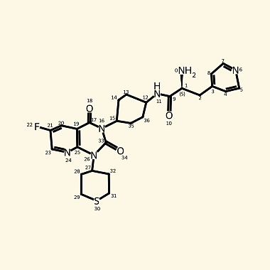 N[C@@H](Cc1ccncc1)C(=O)NC1CCC(n2c(=O)c3cc(F)cnc3n(C3CCSCC3)c2=O)CC1